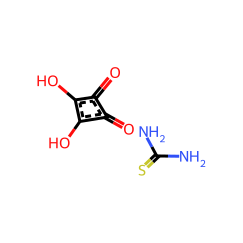 NC(N)=S.O=c1c(O)c(O)c1=O